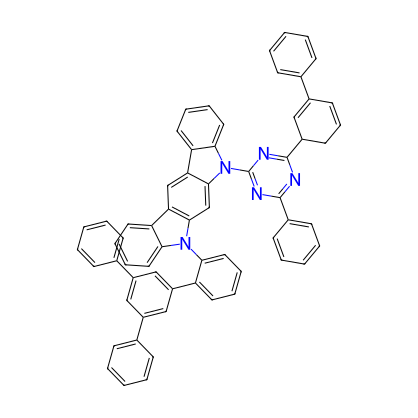 C1=CC(c2ccccc2)=CC(c2nc(-c3ccccc3)nc(-n3c4ccccc4c4cc5c6ccccc6n(-c6ccccc6-c6cc(-c7ccccc7)cc(-c7ccccc7)c6)c5cc43)n2)C1